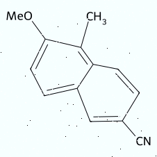 COc1ccc2cc(C#N)ccc2c1C